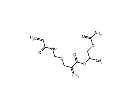 C=CC(=O)NCOCC(=C)C(=O)OC(C)COC(N)=O